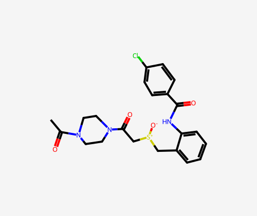 CC(=O)N1CCN(C(=O)C[S+]([O-])Cc2ccccc2NC(=O)c2ccc(Cl)cc2)CC1